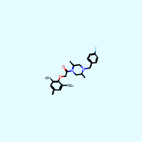 Cc1cc(C(C)(C)C)c(OCC(=O)N2CC(C)N(Cc3ccc(F)cc3)CC2C)c(C(C)(C)C)c1